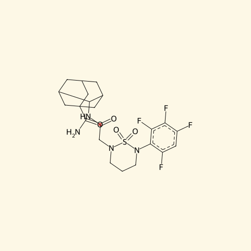 NC(=O)C12CC3CC(C1)C(NC(=O)CN1CCCN(c4c(F)cc(F)c(F)c4F)S1(=O)=O)C(C3)C2